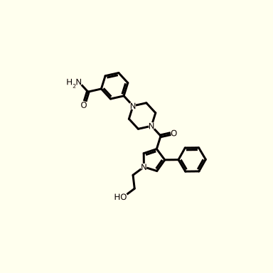 NC(=O)c1cccc(N2CCN(C(=O)c3cn(CCO)cc3-c3ccccc3)CC2)c1